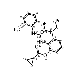 CC(C)CN(CC(C)C)c1cccc(OC(=O)C2CC2)c1NC(=O)Nc1ccccc1C(F)(F)F